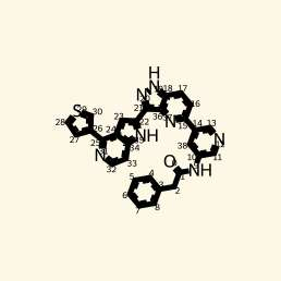 O=C(Cc1ccccc1)Nc1cncc(-c2ccc3[nH]nc(-c4cc5c(-c6ccsc6)nccc5[nH]4)c3n2)c1